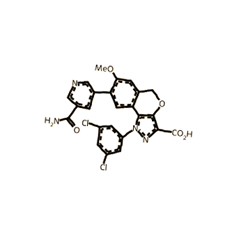 COc1cc2c(cc1-c1cncc(C(N)=O)c1)-c1c(c(C(=O)O)nn1-c1cc(Cl)cc(Cl)c1)OC2